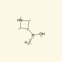 CN(O)C1CNC1